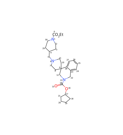 CCOC(=O)N1CCC(CN2CCC3(CC2)CN(C(=O)OC2CCCC2)Cc2ccccc23)CC1